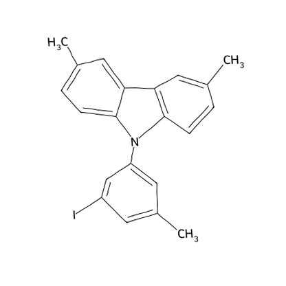 Cc1cc(I)cc(-n2c3ccc(C)cc3c3cc(C)ccc32)c1